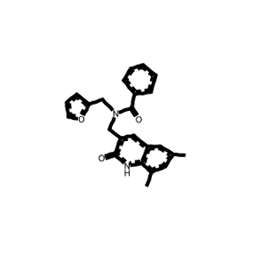 Cc1cc(C)c2[nH]c(=O)c(CN(Cc3ccco3)C(=O)c3ccccc3)cc2c1